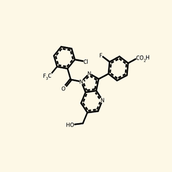 O=C(O)c1ccc(-c2nn(C(=O)c3c(Cl)cccc3C(F)(F)F)c3cc(CO)cnc23)c(F)c1